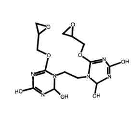 OC1=NC(O)N(CCN2C(OCC3CO3)=NC(O)=NC2O)C(OCC2CO2)=N1